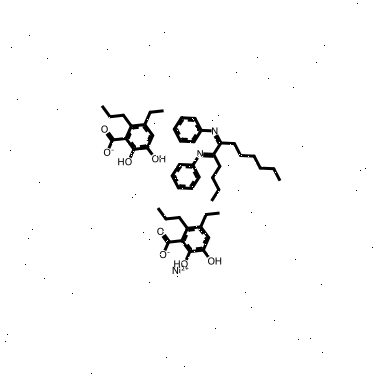 CCCCCCC(=Nc1ccccc1)C(CCCC)=Nc1ccccc1.CCCc1c(CC)cc(O)c(O)c1C(=O)[O-].CCCc1c(CC)cc(O)c(O)c1C(=O)[O-].[Ni+2]